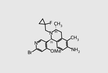 COc1cc(Br)ncc1[C@@H]1c2ccc(N)c(C)c2C[C@@H](C)N1CC1(F)CC1